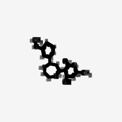 COc1cccc(C2CC(c3c(O)cc(C)oc3=O)=NCCS2)c1